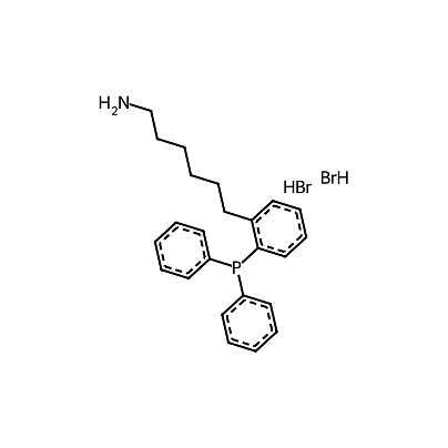 Br.Br.NCCCCCCc1ccccc1P(c1ccccc1)c1ccccc1